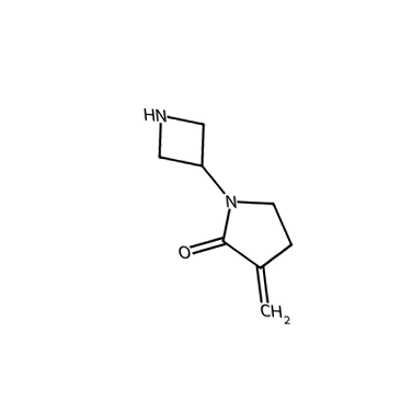 C=C1CCN(C2CNC2)C1=O